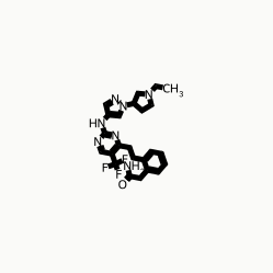 CCN1CCC(n2cc(Nc3ncc(C(F)(F)F)c(CCc4ccccc4CC(N)=O)n3)cn2)C1